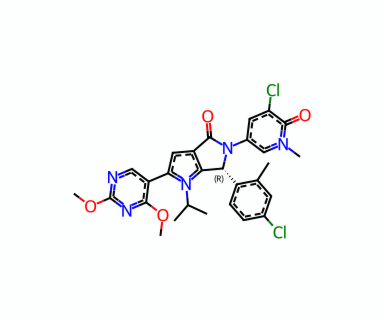 COc1ncc(-c2cc3c(n2C(C)C)[C@@H](c2ccc(Cl)cc2C)N(c2cc(Cl)c(=O)n(C)c2)C3=O)c(OC)n1